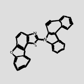 c1ccc2c(c1)ccc1c2c2ccccc2n1-c1nc2ccc3oc4ccccc4c3c2s1